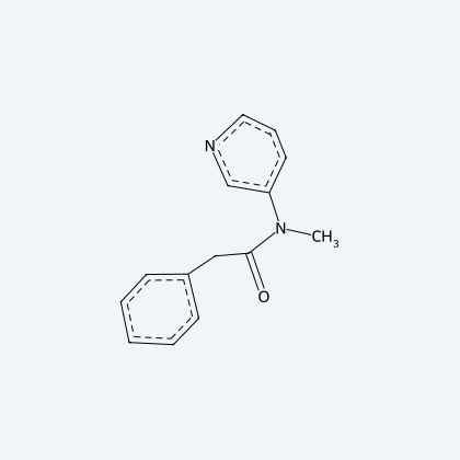 CN(C(=O)Cc1ccccc1)c1cccnc1